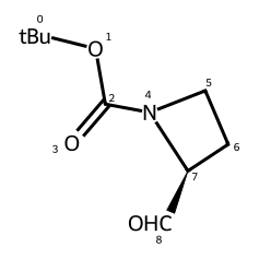 CC(C)(C)OC(=O)N1CC[C@H]1C=O